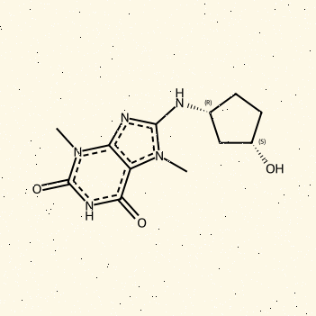 Cn1c(N[C@@H]2CC[C@H](O)C2)nc2c1c(=O)[nH]c(=O)n2C